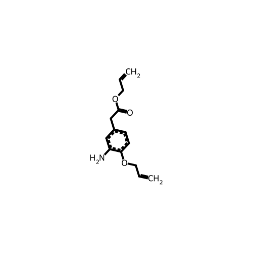 C=CCOC(=O)Cc1ccc(OCC=C)c(N)c1